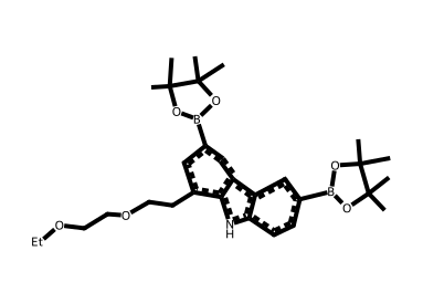 CCOCCOCCc1cc(B2OC(C)(C)C(C)(C)O2)cc2c1[nH]c1ccc(B3OC(C)(C)C(C)(C)O3)cc12